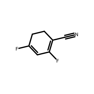 N#CC1=C(F)C=C(F)CC1